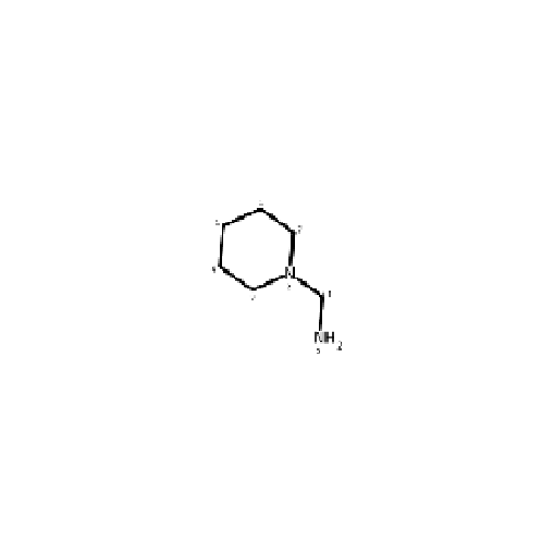 N[CH]N1CCCCC1